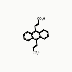 O=C(O)C=Cc1c2ccccc2c(C=CC(=O)O)c2ccccc12